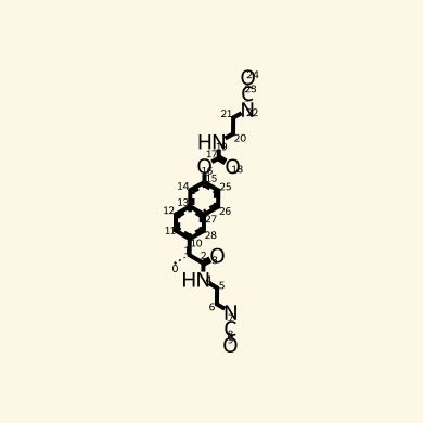 C[C@@H](C(=O)NCCN=C=O)c1ccc2cc(OC(=O)NCCN=C=O)ccc2c1